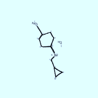 Cl.OC1CCC(NCC2CC2)CC1